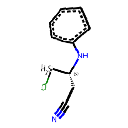 N#CC[C@@H](Nc1ccccc1)[SiH2]Cl